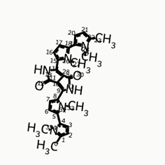 Cc1ccc(-c2ccc(C3=C4C(=O)NC(c5ccc(-c6ccc(C)n6C)n5C)=C4C(=O)N3)n2C)n1C